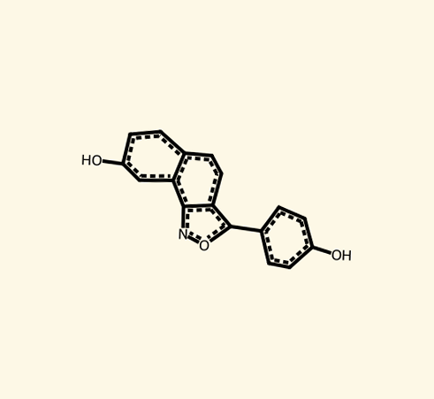 Oc1ccc(-c2onc3c2ccc2ccc(O)cc23)cc1